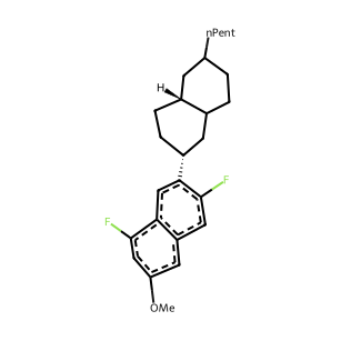 CCCCCC1CCC2C[C@H](c3cc4c(F)cc(OC)cc4cc3F)CC[C@@H]2C1